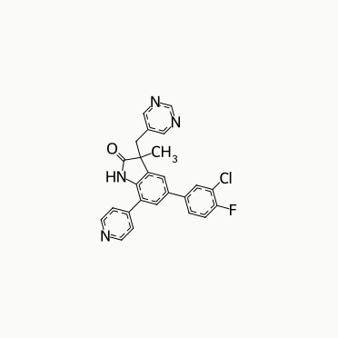 CC1(Cc2cncnc2)C(=O)Nc2c(-c3ccncc3)cc(-c3ccc(F)c(Cl)c3)cc21